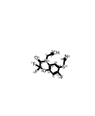 C#CCN1C(=O)C(F)(F)Oc2cc(F)c(SC#N)cc21